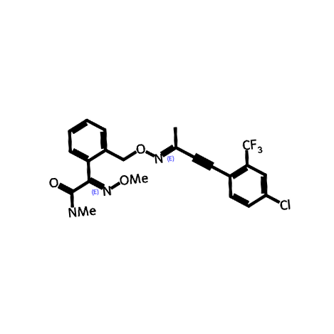 CNC(=O)/C(=N/OC)c1ccccc1CO/N=C(\C)C#Cc1ccc(Cl)cc1C(F)(F)F